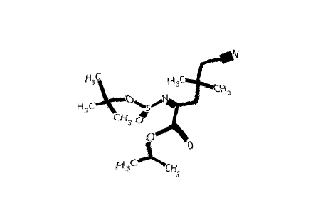 CC(C)OC(=O)C(CC(C)(C)CC#N)=NS(=O)OC(C)(C)C